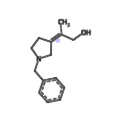 C/C(CO)=C1\CCN(Cc2ccccc2)C1